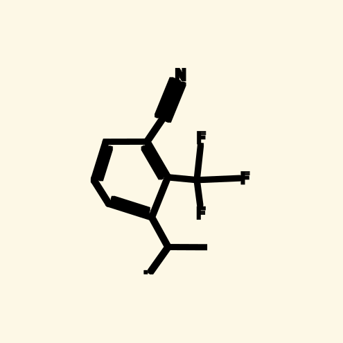 [CH2]C(C)c1cccc(C#N)c1C(F)(F)F